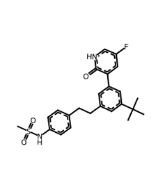 CC(C)(C)c1cc(CCc2ccc(NS(C)(=O)=O)cc2)cc(-c2cc(F)c[nH]c2=O)c1